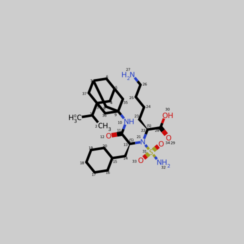 CC(C)C12CC3CC(CC(NC(=O)[C@H](CC4CCCCC4)N([C@@H](CCCCN)C(=O)O)S(N)(=O)=O)(C3)C1)C2